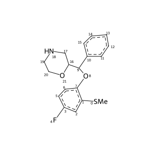 CSc1cc(F)ccc1OC(c1ccccc1)C1CNCCO1